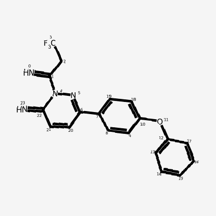 N=C(CC(F)(F)F)n1nc(-c2ccc(Oc3ccccc3)cc2)ccc1=N